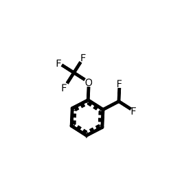 FC(F)c1c[c]ccc1OC(F)(F)F